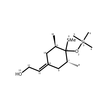 CSC1(O[Si](C)(C)C)[C@H](C)CC(=CCO)C[C@H]1C